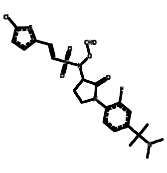 CN(C)C(C)(C)c1ccc(N2CCC(N(OC=O)S(=O)(=O)/C=C/c3ccc(Cl)s3)C2=O)c(F)c1